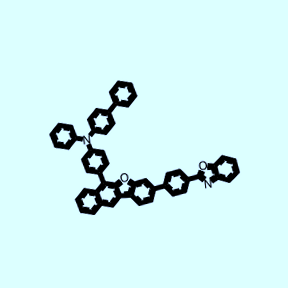 c1ccc(-c2ccc(N(c3ccccc3)c3ccc(-c4c5ccccc5cc5c4oc4cc(-c6ccc(-c7nc8ccccc8o7)cc6)ccc45)cc3)cc2)cc1